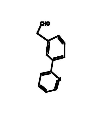 O=CCc1cccc(-c2ccccn2)c1